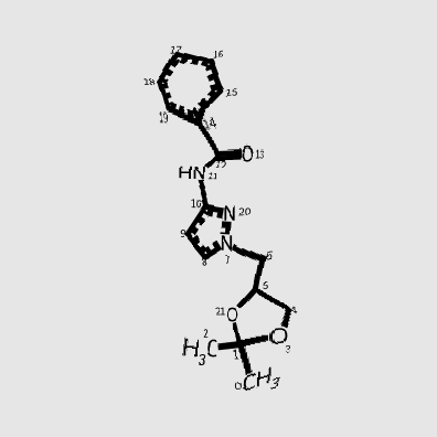 CC1(C)OCC(Cn2ccc(NC(=O)c3ccccc3)n2)O1